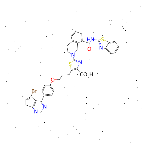 O=C(Nc1nc2ccccc2s1)c1cccc2c1CN(c1nc(C(=O)O)c(CCCOc3ccc(-c4ncnc5c4C(Br)=CC5)cc3)s1)CC2